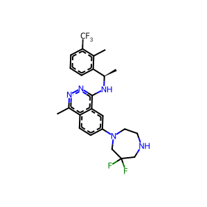 Cc1c([C@@H](C)Nc2nnc(C)c3ccc(N4CCNCC(F)(F)C4)cc23)cccc1C(F)(F)F